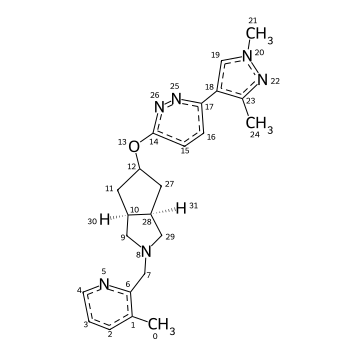 Cc1cccnc1CN1C[C@H]2CC(Oc3ccc(-c4cn(C)nc4C)nn3)C[C@H]2C1